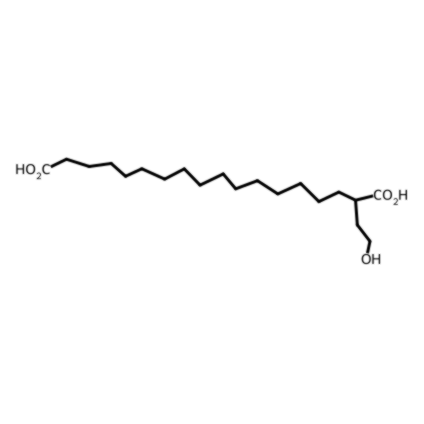 O=C(O)CCCCCCCCCCCCCCCC(CCO)C(=O)O